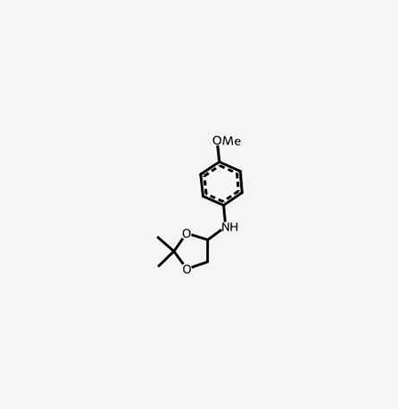 COc1ccc(NC2COC(C)(C)O2)cc1